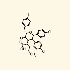 CCCC(C(=O)O)N1C(=O)[C@H](Cc2ccc(I)cc2)O[C@@H](c2ccc(Cl)cc2)[C@H]1c1ccc(Cl)cc1